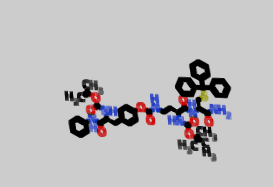 C=C(C)OC(=O)N[C@@H](Cc1ccc(OC(=O)NCC[C@H](NC(=O)OC(C)(C)C)C(=O)N[C@@H](CSC(c2ccccc2)(c2ccccc2)c2ccccc2)C(N)=O)cc1)C(=O)Nc1ccccc1